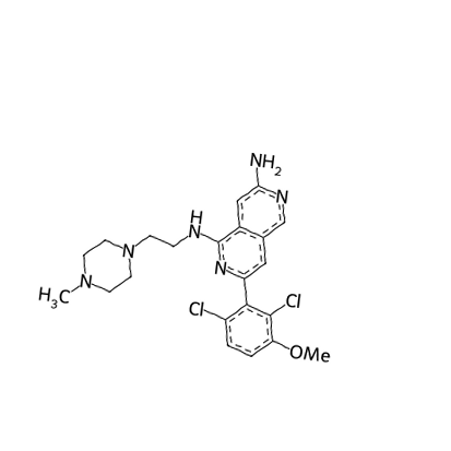 COc1ccc(Cl)c(-c2cc3cnc(N)cc3c(NCCN3CCN(C)CC3)n2)c1Cl